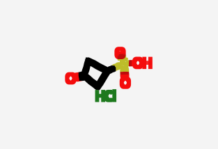 Cl.O=C1CC(S(=O)(=O)O)C1